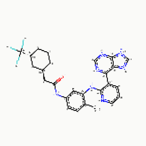 Cc1ccc(NC(=O)C[C@@H]2CCC[C@@H](C(F)(F)F)C2)cc1Nc1ncccc1-c1ncnc2[nH]cnc12